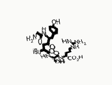 CCC(C)C(CC(=O)C(Cc1ccc(O)cc1)NC(=O)CN)C(=O)N[C@H](CO)C(=O)N[C@@H](CCCNC(=N)N)C(=O)O